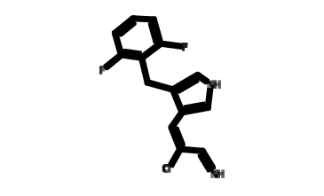 N=C/C(Cl)=C\c1c[nH]cc1Cc1c(F)cccc1F